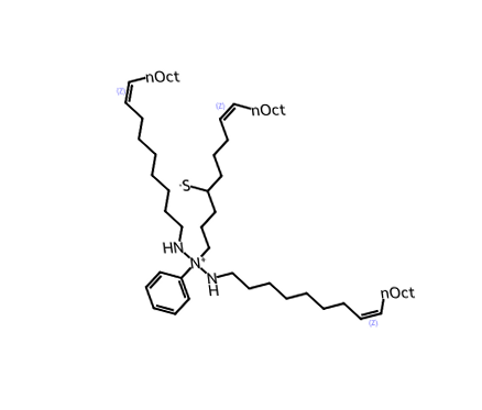 CCCCCCCC/C=C\CCCCCCCN[N+](CCCC([S])CCC/C=C\CCCCCCCC)(NCCCCCCC/C=C\CCCCCCCC)c1ccccc1